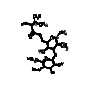 CCCC(C(=O)OCC1O[C@H](C)C(C)C(OC2OC(C(=O)O)C(OC)C(O)C2O)C1O)[C@H](C)C(=O)O